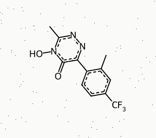 Cc1cc(C(F)(F)F)ccc1-c1nnc(C)n(O)c1=O